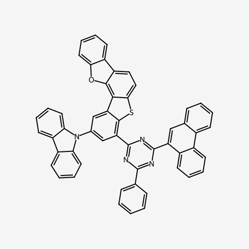 c1ccc(-c2nc(-c3cc4ccccc4c4ccccc34)nc(-c3cc(-n4c5ccccc5c5ccccc54)cc4c3sc3ccc5c6ccccc6oc5c34)n2)cc1